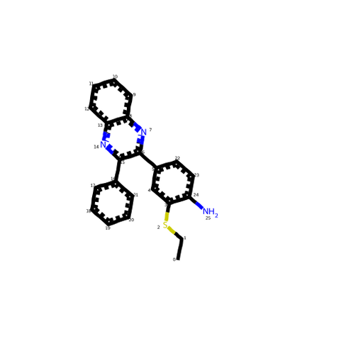 CCSc1cc(-c2nc3ccccc3nc2-c2ccccc2)ccc1N